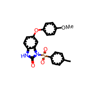 COc1ccc(Oc2ccc3[nH]c(=O)n(S(=O)(=O)c4ccc(C)cc4)c3c2)cc1